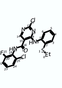 CCSc1ccccc1Nc1nc(Cl)ncc1C(=O)Nc1c(F)cccc1Cl